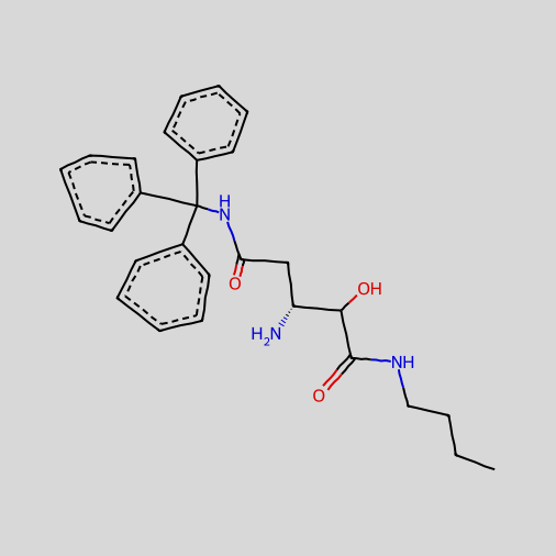 CCCCNC(=O)C(O)[C@H](N)CC(=O)NC(c1ccccc1)(c1ccccc1)c1ccccc1